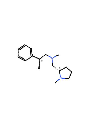 C[C@H](CN(C)C[C@@H]1CCCN1C)c1ccccc1